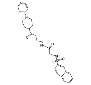 O=C(CNS(=O)(=O)c1ccc2ccccc2c1)NCCCC(=O)N1CCN(c2ccncc2)CC1